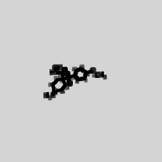 COc1ccc(S(=O)(=O)C2(C(=O)NO)CCN(C)CC2)cc1